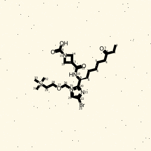 CCC(=O)CCCCC[C@H](NC(=O)C1CN(C(=O)O)C1)c1nc(Br)cn1COCC[Si](C)(C)C